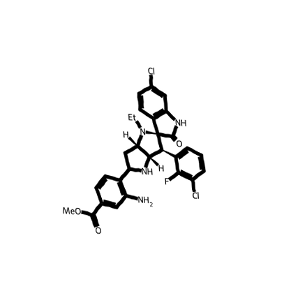 CCN1[C@H]2CC(c3ccc(C(=O)OC)cc3N)N[C@H]2[C@H](c2cccc(Cl)c2F)[C@]12C(=O)Nc1cc(Cl)ccc12